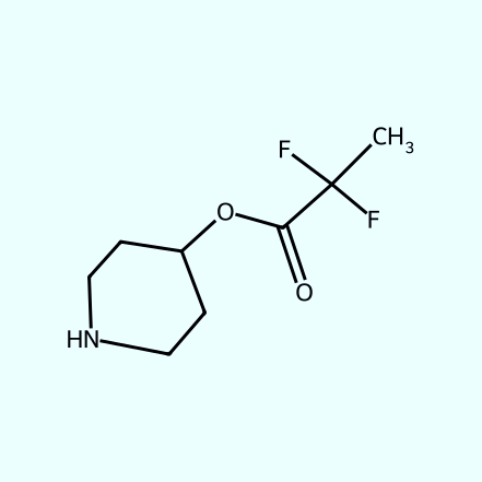 CC(F)(F)C(=O)OC1CCNCC1